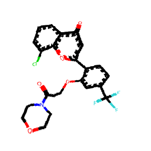 O=C(COc1cc(C(F)(F)F)ccc1-c1cc(=O)c2cccc(Cl)c2o1)N1CCOCC1